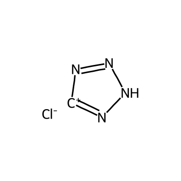 [C+]1=NNN=N1.[Cl-]